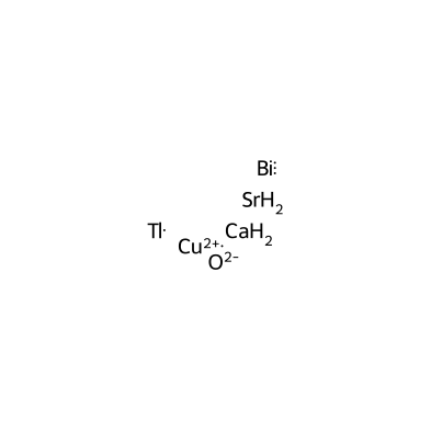 [Bi].[CaH2].[Cu+2].[O-2].[SrH2].[Tl]